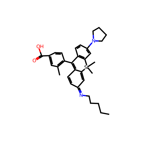 CCCCC/N=C1/C=CC2=C(c3ccc(C(=O)O)cc3C)c3ccc(N4CCCC4)cc3[Si](C)(C)C2=C1